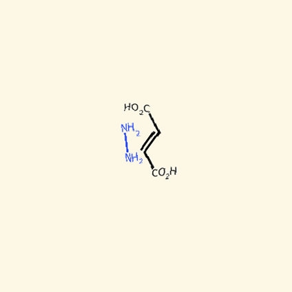 NN.O=C(O)C=CC(=O)O